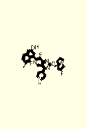 Oc1cc(-c2ncc3c(C4CCNCC4)nc(OC[C@@]45CCCN4C[C@H](F)C5)nc3c2F)c2c(F)c(F)ccc2c1